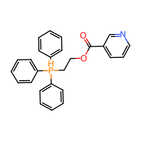 O=C(OCC[PH](c1ccccc1)(c1ccccc1)c1ccccc1)c1cccnc1